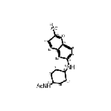 CC(=O)NC1CCC(Nc2ccc3cc(C(C)=O)ccc3c2)CC1